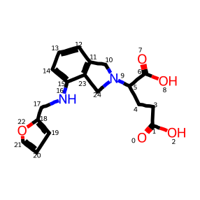 O=C(O)CCC(C(=O)O)N1Cc2cccc(NCc3ccco3)c2C1